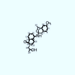 COc1ccc(CC(=O)Nc2cccc3c(=O)n(CC(C)O)ccc23)c(OC)c1